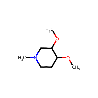 COC1CCN(C)CC1OC